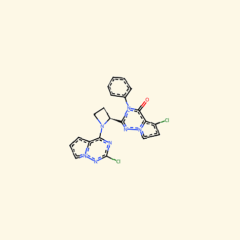 O=c1c2c(Cl)ccn2nc([C@@H]2CCN2c2nc(Cl)nn3cccc23)n1-c1ccccc1